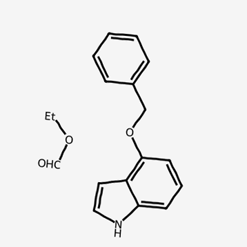 CCOC=O.c1ccc(COc2cccc3[nH]ccc23)cc1